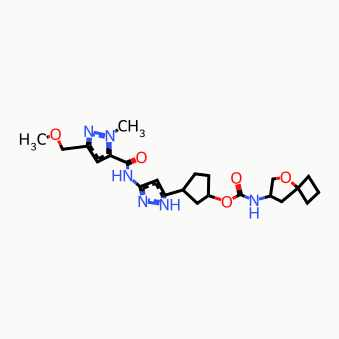 COCc1cc(C(=O)Nc2cc(C3CCC(OC(=O)NC4COC5(CCC5)C4)C3)[nH]n2)n(C)n1